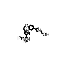 CC(C)n1ncnc1-c1cc2n(n1)-c1cc(C3CN(CCO)C3)ccc1OCC2